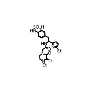 CCc1csc(C(Cc2ccc(NS(=O)(=O)O)cc2)NC(=O)CN2CCN(CC)C(=O)C2=O)n1